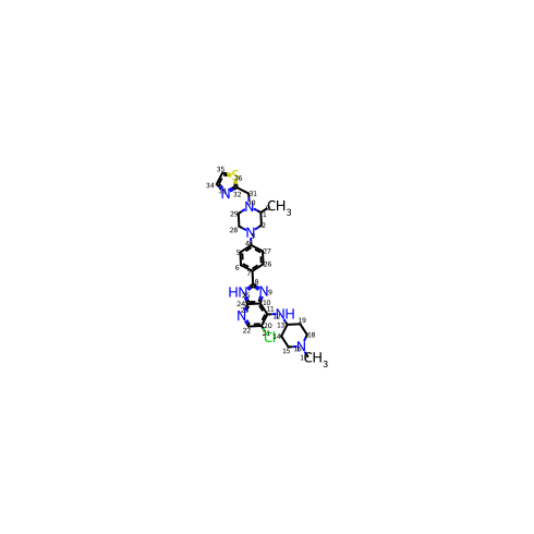 CC1CN(c2ccc(-c3nc4c(NC5CCN(C)CC5)c(Cl)cnc4[nH]3)cc2)CCN1Cc1nccs1